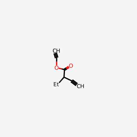 C#COC(=O)C(C#C)CC